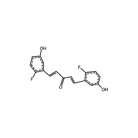 O=C(/C=C/c1cc(O)ccc1F)/C=C/c1cc(O)ccc1F